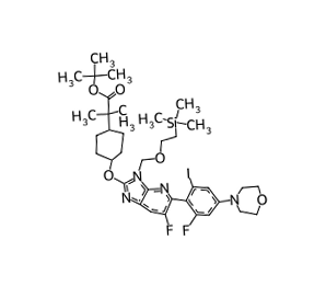 CC(C)(C)OC(=O)C(C)(C)C1CCC(Oc2nc3cc(F)c(-c4c(F)cc(N5CCOCC5)cc4I)nc3n2COCC[Si](C)(C)C)CC1